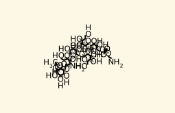 CP1O[C@H]2C(O[C@H]3OC(CO)[C@@H](O[C@H]4OC(CO[C@H]5OC(CO)[C@@H](O)[C@H](O)C5O[C@H]5OC(COP(=O)(O)OCCN)[C@@H](O)[C@H](O)C5[C@H]5OC(CO)[C@@H](O)[C@H](O)C5O)[C@@H](O)[C@H](O)C4O)[C@H](O)C3N)C(O)[C@H](O)C(O)[C@@H]2O1